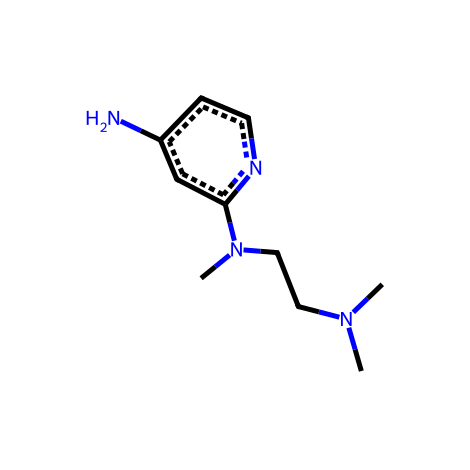 CN(C)CCN(C)c1cc(N)ccn1